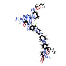 CC(=O)NC1CCCN(c2nnc(C(N)=O)c(Nc3ccc(N4CCN(CC5CCN(c6ccc(N7CCC(=O)NC7=O)c(C)c6)CC5)CC4)c(F)c3)n2)C1